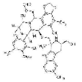 COc1c(C)cc2c(c1O)[C@@H]1[C@@H]3[C@H](SC[C@@]4(C)N[C@@H](CO)Cc5c4[nH]c4ccc(C)cc54)c4c(C)c(C)c5c(c4[C@H](COC=O)N3[C@@H](C#N)[C@H](C2)N1C)OCO5